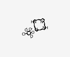 C1=Cc2cc3ccc(cc4nc(cc5ccc(cc1n2)[nH]5)C=C4)[nH]3.COc1cc(Cl)c(OC)c(OC)c1OC